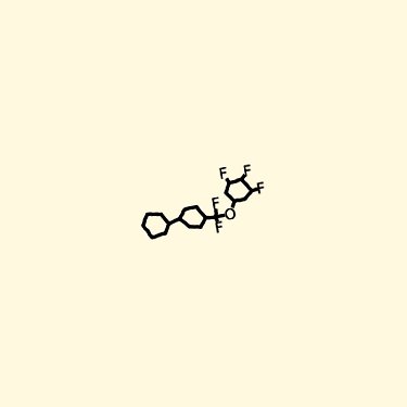 FC1CC(OC(F)(F)C2CCC(C3CCCCC3)CC2)CC(F)C1F